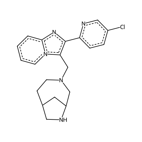 Clc1ccc(-c2nc3ccccn3c2CN2CCC3CNC(C3)C2)nc1